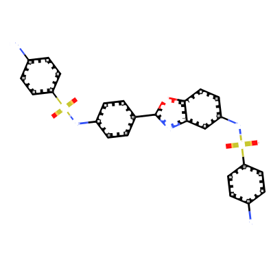 Nc1ccc(S(=O)(=O)Nc2ccc(-c3nc4cc(NS(=O)(=O)c5ccc(N)cc5)ccc4o3)cc2)cc1